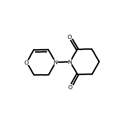 O=C1CCCC(=O)N1N1C=COCC1